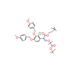 COc1ccc(COc2ccc(/C(=N/OC(C)(C)C(=O)OC(C)(C)C)C(=O)OCC[Si](C)(C)C)c(Cl)c2OCc2ccc(OC)cc2)cc1